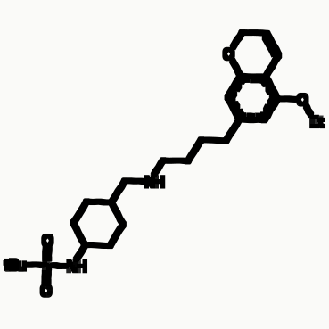 CCOc1cc(CCCCNCC2CCC(NS(=O)(=O)C(C)(C)C)CC2)cc2c1C=CCO2